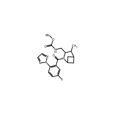 CC1C2CC(C2)N(C(=O)c2cc(F)ccc2-n2nccn2)C1CNC(=O)OC(C)(C)C